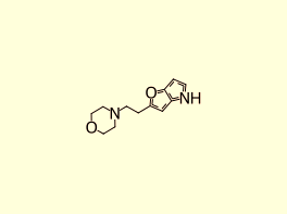 c1cc2oc(CCN3CCOCC3)cc2[nH]1